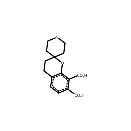 O=C(O)c1ccc2c(c1C(=O)O)OC1(CCNCC1)CC2